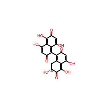 O=C1C=C(O)C2=C(C3=C4C[C@@H](O)C(=O)C(O)=C4C(O)=CC3=O)C(=O)C=C(O)C2=C1O